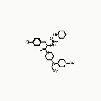 CC(C)CN(C1CCN(C(=O)[C@@H](Cc2ccc(Cl)cc2)NC(=O)C[C@H]2CCCCN2)CC1)C1CCN(C(C)C)CC1